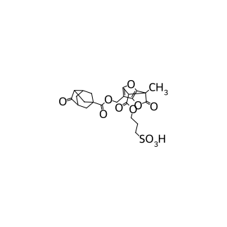 CC12C(=O)Oc3c1oc(c3COC(=O)C13CC4CC(C1)C(C3)C4=O)C2C(=O)OCCCS(=O)(=O)O